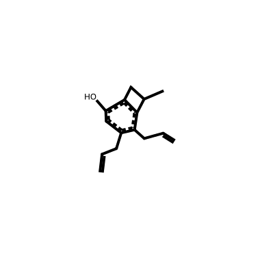 C=CCc1cc(O)c2c(c1CC=C)C(C)C2